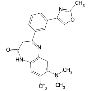 Cc1nc(-c2cccc(C3=Nc4cc(N(C)C)c(C(F)(F)F)cc4NC(=O)C3)c2)co1